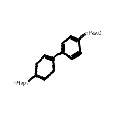 CCCCCCCC1CC=C(c2ccc(CCCCC)cc2)CC1